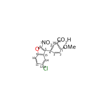 COc1ccc(-c2c([N+](=O)[O-])oc3ccc(Cl)cc23)cc1C(=O)O